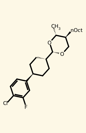 CCCCCCCC[C@H]1CO[C@H]([C@H]2CC[C@H](c3ccc(Cl)c(F)c3)CC2)O[C@@H]1C